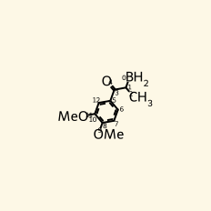 BC(C)C(=O)c1ccc(OC)c(OC)c1